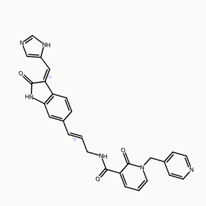 O=C1Nc2cc(/C=C/CNC(=O)c3cccn(Cc4ccncc4)c3=O)ccc2/C1=C/c1cnc[nH]1